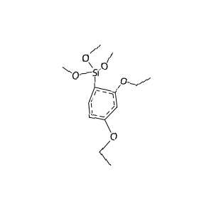 CCOc1ccc([Si](OC)(OC)OC)c(OCC)c1